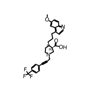 COc1ccc2nccc(CCC[C@@H]3CCN(CC#Cc4ccc(C(F)(F)F)cc4)C[C@@H]3C(=O)O)c2c1